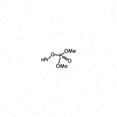 CCCOP(=O)(OC)OC